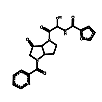 CCCC(NC(=O)c1ccco1)C(=O)N1CCC2C1C(=O)CN2C(=O)c1ccccn1